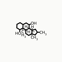 CC1C[C@H]2[C@@H]3C(O)CC4CCCC(O)[C@]4(C)[C@@H]3CC[C@]2(C)C1